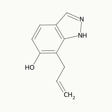 C=CCc1c(O)ccc2cn[nH]c12